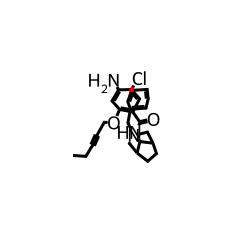 CCC#CCOc1cc(N)c(Cl)cc1C(=O)NC1C2CCC1CN(Cc1ccccc1)C2